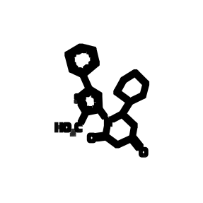 O=C1CC(=O)N(c2cc(-c3ccccc3)sc2C(=O)O)C(C2CCCCC2)C1